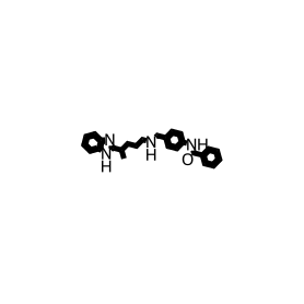 CC(CCCNCc1ccc(NC(=O)c2ccccc2)cc1)c1nc2ccccc2[nH]1